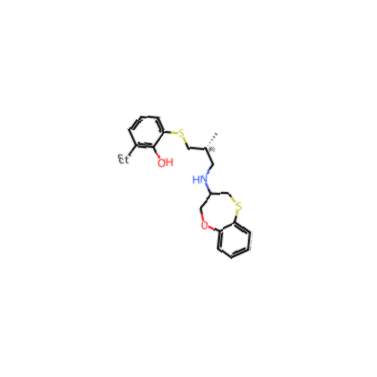 CCc1cccc(SC[C@H](C)CNC2COc3ccccc3SC2)c1O